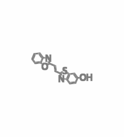 Oc1ccc2nc(C=Cc3nc4ccccc4o3)sc2c1